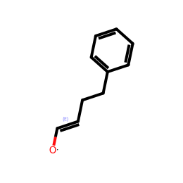 [O]/C=C/CCc1ccccc1